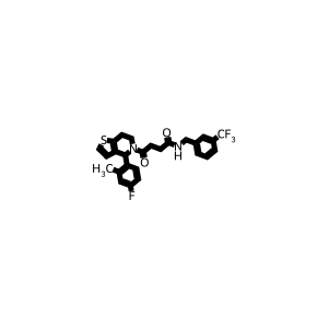 Cc1cc(F)ccc1C1c2ccsc2CCN1C(=O)CCC(=O)NCc1cccc(C(F)(F)F)c1